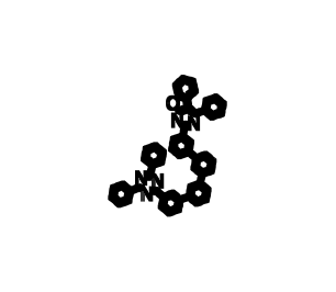 c1ccc(-c2nc(-c3ccccc3)nc(-c3cccc(-c4cccc(-c5cccc(-c6cccc(-c7nc(-c8ccccc8)c8c(n7)oc7ccccc78)c6)c5)c4)c3)n2)cc1